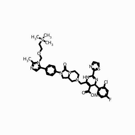 COC(=O)C1=C(CN2CCN3C(=O)N(c4ccc(-c5cnc(C)n5COCC[Si](C)(C)C)cc4)CC3C2)NC(c2nccs2)=NC1c1ccc(F)cc1Cl